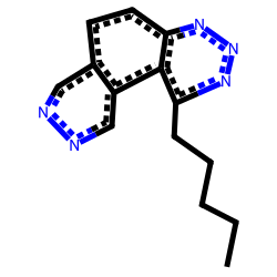 CCCCCc1nnnc2ccc3cnncc3c12